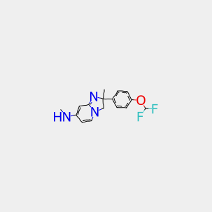 CNC1=CC2=NC(C)(c3ccc(OC(F)F)cc3)CN2C=C1